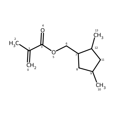 C=C(C)C(=O)OCC1CC(C)CC1C